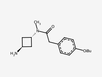 CC(C)COc1ccc(CC(=O)N(C)[C@H]2C[C@H](N)C2)cc1